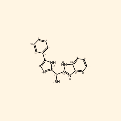 SC(c1ncc(-c2ccccc2)[nH]1)c1nc2ccccc2[nH]1